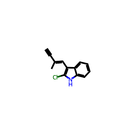 C#C/C(C)=C/c1c(Cl)[nH]c2ccccc12